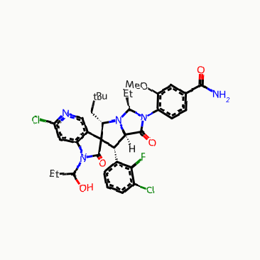 CCC(O)N1C(=O)C2(c3cnc(Cl)cc31)[C@H](CC(C)(C)C)N1[C@@H](C(=O)N(c3ccc(C(N)=O)cc3OC)[C@@H]1CC)[C@@H]2c1cccc(Cl)c1F